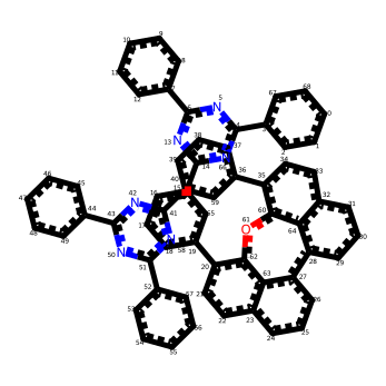 c1ccc(-c2nc(-c3ccccc3)nc(-c3cccc(-c4ccc5cccc6c7cccc8ccc(-c9cccc(-c%10nc(-c%11ccccc%11)nc(-c%11ccccc%11)n%10)c9)c(oc4c56)c87)c3)n2)cc1